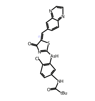 CC(C)(C)C(=O)Nc1ccc(Cl)c([AsH]C2=NC(=O)/C(=C/c3ccc4nccnc4c3)S2)c1